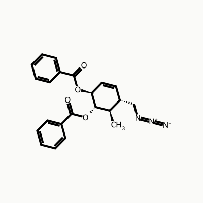 C[C@H]1[C@H](OC(=O)c2ccccc2)[C@@H](OC(=O)c2ccccc2)C=C[C@@H]1CN=[N+]=[N-]